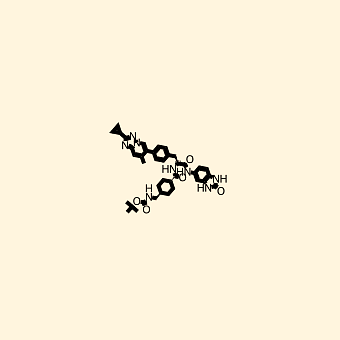 Cc1cc2nc(C3CC3)nn2cc1-c1ccc(C[C@H](NC(=O)[C@H]2CC[C@H](CNC(=O)OC(C)(C)C)CC2)C(=O)Nc2ccc3[nH]c(=O)[nH]c3c2)cc1